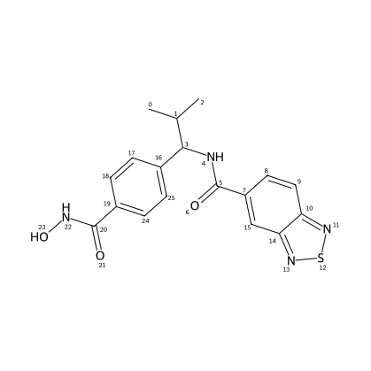 CC(C)C(NC(=O)c1ccc2nsnc2c1)c1ccc(C(=O)NO)cc1